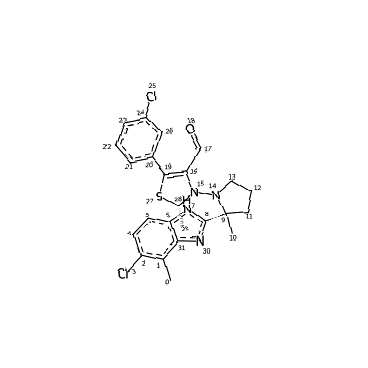 Cc1c(Cl)ccc2[nH]c(C3(C)CCCN3N3C(C=O)=C(c4cccc(Cl)c4)S[C@H]3C)nc12